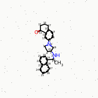 C[C@@H](N[C@H]1CCN(c2ccc3c(c2)C(=O)CCC3)C1)c1cccc2ccccc12